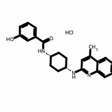 Cc1cc(N[C@H]2CC[C@@H](NC(=O)c3cccc(O)c3)CC2)nc2ccccc12.Cl